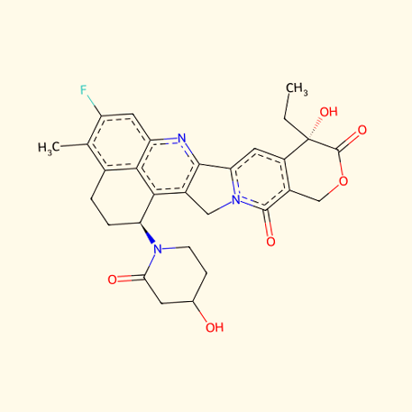 CC[C@@]1(O)C(=O)OCc2c1cc1n(c2=O)Cc2c-1nc1cc(F)c(C)c3c1c2[C@@H](N1CCC(O)CC1=O)CC3